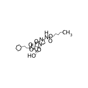 CCCCCOC(=O)Nc1ccn([C@@H]2O[C@H](CO)[C@@H](OC(=O)CCc3ccccc3)C2(F)F)c(=O)n1